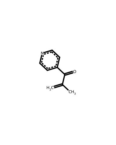 C=C(C)C(=O)c1ccncc1